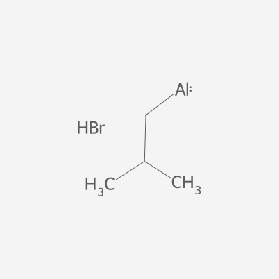 Br.CC(C)[CH2][Al]